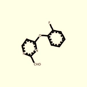 O=[C]c1nccc(Oc2ccccc2F)n1